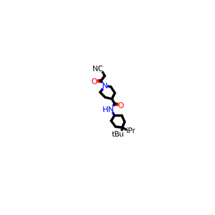 CC(C)C1(C(C)(C)C)CCC(NC(=O)C2CCN(C(=O)CC#N)CC2)CC1